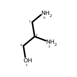 NCC(N)CO